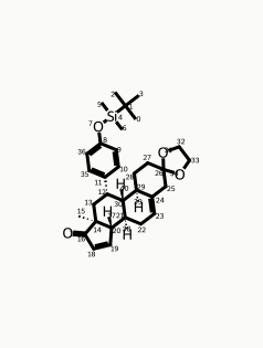 CC(C)(C)[Si](C)(C)Oc1ccc([C@H]2C[C@]3(C)C(=O)C=C[C@H]3[C@@H]3CC=C4CC5(CC[C@@H]4[C@H]32)OCCO5)cc1